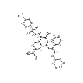 Cc1ccc(S(=O)(=O)O/N=C(/C(=O)c2ccc(OCC3CCOCC3)c3ccccc23)c2ccc(C(=O)O)cc2)cc1